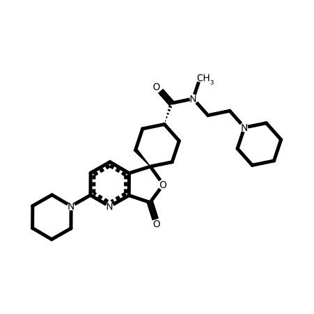 CN(CCN1CCCCC1)C(=O)[C@H]1CC[C@@]2(CC1)OC(=O)c1nc(N3CCCCC3)ccc12